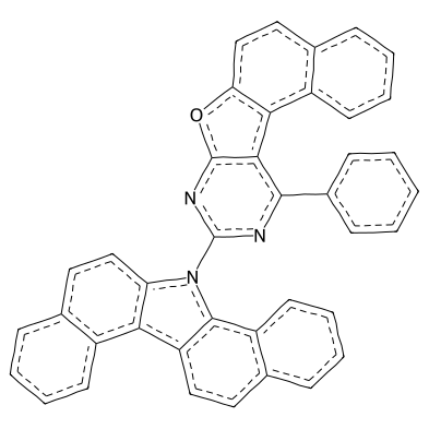 c1ccc(-c2nc(-n3c4ccc5ccccc5c4c4ccc5ccccc5c43)nc3oc4ccc5ccccc5c4c23)cc1